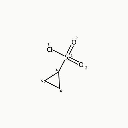 O=S(=O)(Cl)C1[CH]C1